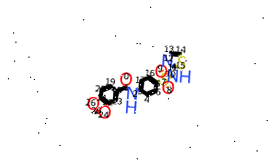 O=C(Nc1ccc(S(=O)(=O)Nc2nccs2)cc1)c1ccc2c(c1)OCO2